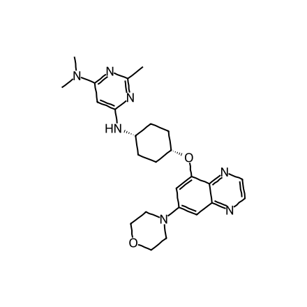 Cc1nc(N[C@H]2CC[C@@H](Oc3cc(N4CCOCC4)cc4nccnc34)CC2)cc(N(C)C)n1